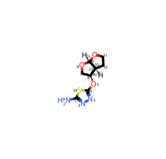 Nc1nnc(O[C@H]2CO[C@H]3OCC[C@H]32)s1